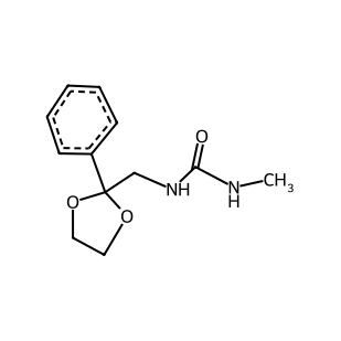 CNC(=O)NCC1(c2ccccc2)OCCO1